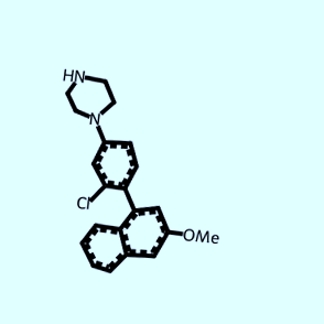 COc1cc(-c2ccc(N3CCNCC3)cc2Cl)c2ccccc2c1